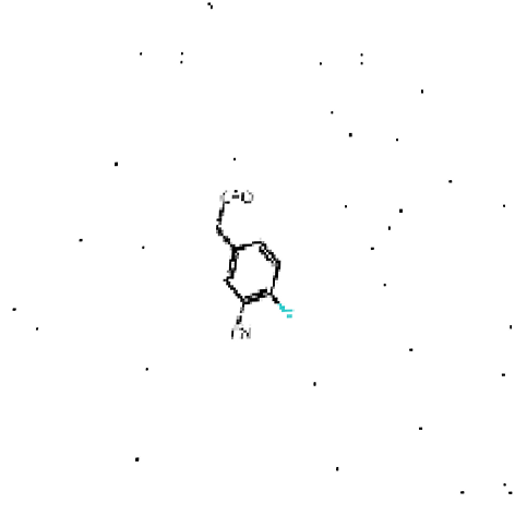 N#Cc1cc(CC=O)ccc1F